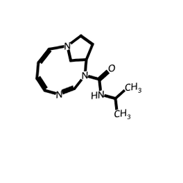 CC(C)NC(=O)N1C=NC=CC=CN2CCC1C2